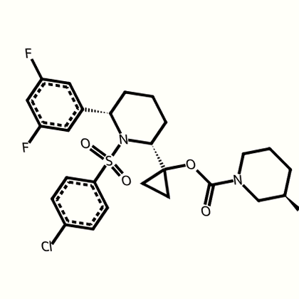 O=C(OC1([C@H]2CCC[C@@H](c3cc(F)cc(F)c3)N2S(=O)(=O)c2ccc(Cl)cc2)CC1)N1CCC[C@@H](O)C1